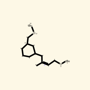 C/C(=C/COC(C)(C)C)CC1CCCC(COC(C)(C)C)C1